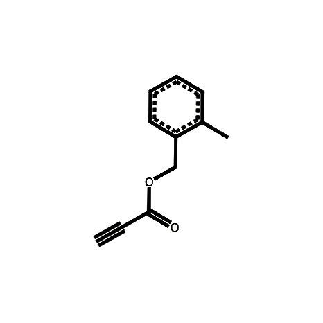 C#CC(=O)OCc1ccccc1C